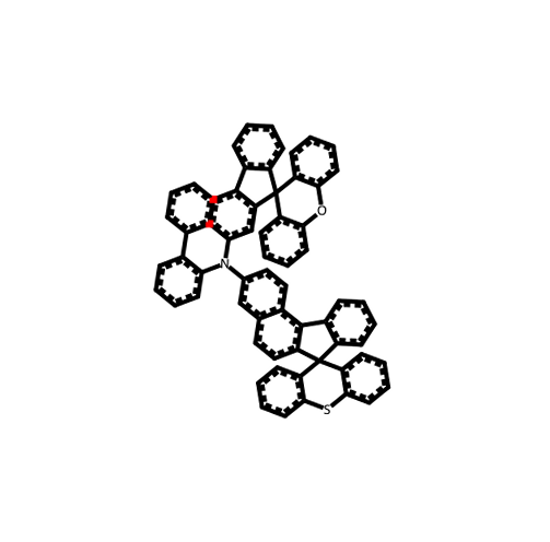 c1ccc(-c2ccccc2N(c2ccc3c(c2)C2(c4ccccc4Oc4ccccc42)c2ccccc2-3)c2ccc3c4c(ccc3c2)C2(c3ccccc3Sc3ccccc32)c2ccccc2-4)cc1